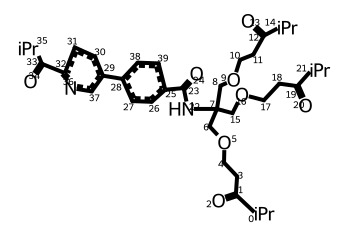 CC(C)C(=O)CCOCC(COCCC(=O)C(C)C)(COCCC(=O)C(C)C)NC(=O)c1ccc(-c2ccc(C(=O)C(C)C)nc2)cc1